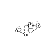 CN1Cc2c3c(cc(O)c2-c2ccc4cc5c(cc4c21)OCO5)OCO3